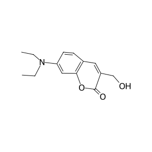 CCN(CC)c1ccc2cc(CO)c(=O)oc2c1